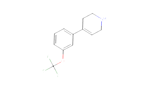 FC(F)(F)Oc1cccc(C2=CCNCC2)c1